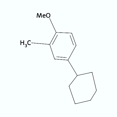 COc1ccc(C2CCCCC2)cc1C